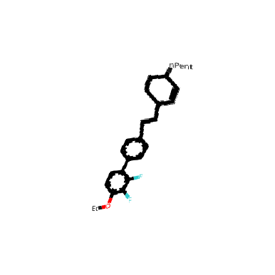 CCCCCC1C=CC(CCc2ccc(-c3ccc(OCC)c(F)c3F)cc2)CC1